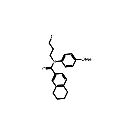 COc1ccc(N(CCCCl)C(=O)c2ccc3c(c2)CCCC3)cc1